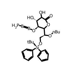 CCCCO[C@@H](CO[Si](c1ccccc1)(c1ccccc1)C(C)(C)C)C1OC(=O)C(O)[C@@H](O)[C@@H]1OB=BP